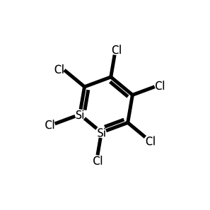 Clc1c(Cl)c(Cl)[si](Cl)[si](Cl)c1Cl